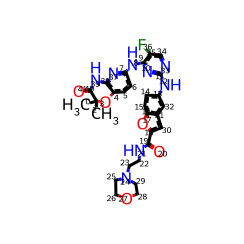 CC1(C)Oc2ccc(Nc3nc(Nc4ccc5oc(C(=O)NCCN6CCOCC6)cc5c4)ncc3F)nc2NC1=O